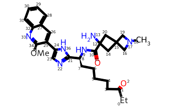 CCC(=O)CCCCC[C@H](NC(=O)C1(N)CC2(CN(C)C2)C1)c1ncc(-c2cc3ccccc3nc2OC)[nH]1